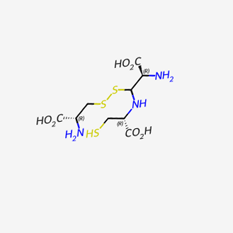 N[C@H](C(=O)O)C(N[C@@H](CS)C(=O)O)SSC[C@H](N)C(=O)O